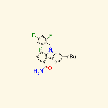 CCCCc1c[c]c2c3c(C(N)=O)cccc3n(Cc3c(F)cc(F)cc3F)c2c1